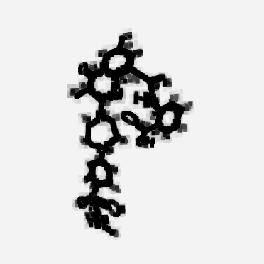 CNS(=O)(=O)c1ccc(N2CCN(c3nc4c(C(C)Nc5ccccc5C(=O)O)cc(C)cn4c(=O)c3C)CC2)cc1